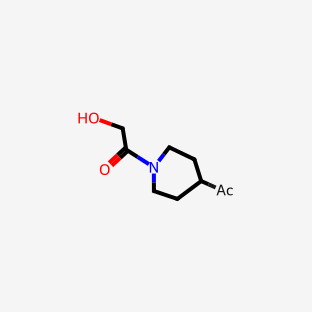 CC(=O)C1CCN(C(=O)CO)CC1